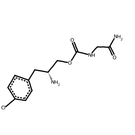 NC(=O)CNC(=O)OC[C@H](N)Cc1ccc(Cl)cc1